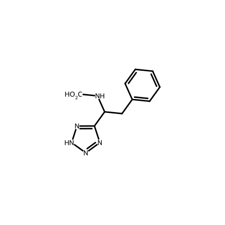 O=C(O)NC(Cc1ccccc1)c1nn[nH]n1